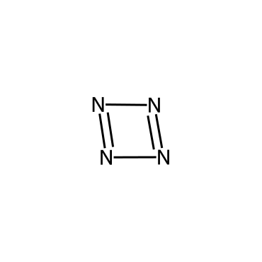 N1=NN=N1